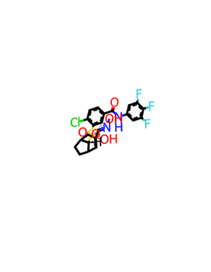 O=C(Nc1cc(F)c(F)c(F)c1)c1ccc(Cl)c(S(=O)(=O)[C@H]2C3CCC2C[C@](O)(/C=N/O)C3)c1